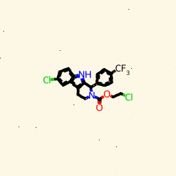 O=C(OCCCl)N1CCc2c([nH]c3ccc(Cl)cc23)C1c1ccc(C(F)(F)F)cc1